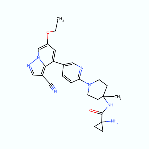 CCOc1cc(-c2ccc(N3CCC(C)(NC(=O)C4(N)CC4)CC3)nc2)c2c(C#N)cnn2c1